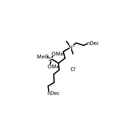 CCCCCCCCCCCCCCC(CC[N+](C)(C)CCCCCCCCCCCC)[Si](OC)(OC)OC.[Cl-]